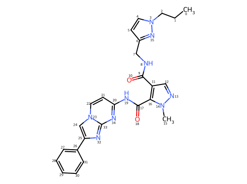 CCCn1ccc(CNC(=O)c2cnn(C)c2C(=O)Nc2ccn3cc(-c4ccccc4)nc3n2)n1